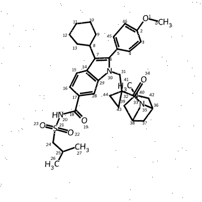 COc1ccc(-c2c(C3CCCCC3)c3ccc(C(=O)NS(=O)(=O)CC(C)C)cc3n2CC2(C(=O)N3C4CC3CN(C)C4)CC2)cc1